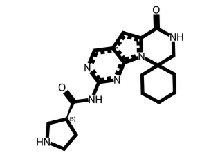 O=C1NCC2(CCCCC2)n2c1cc1cnc(NC(=O)[C@H]3CCNC3)nc12